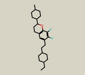 CCC1CCC(CCc2cc3c(c(F)c2F)OC(C2CCC(C)CC2)CC3)CC1